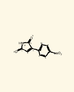 O=C1C=C(c2ccc([N+](=O)[O-])cc2)C(=O)N1